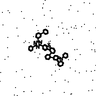 c1ccc(-c2cccc(-c3nc(-c4ccccc4)nc(-c4ccc5c(c4)sc4cccc(-c6ccccc6-c6ccc7c(c6)c6ccccc6n7-c6ccccc6)c45)n3)c2)cc1